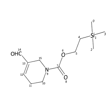 C[Si](C)(C)CCOC(=O)N1CCC=C(C=O)C1